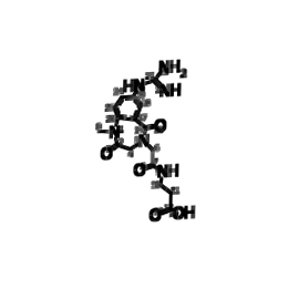 CN1C(=O)CN(CC(=O)NCCC(=O)O)C(=O)c2cc(NC(=N)N)ccc21